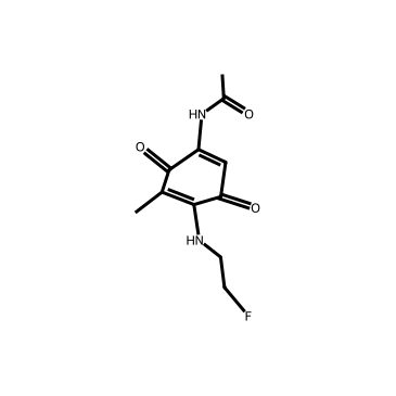 CC(=O)NC1=CC(=O)C(NCCF)=C(C)C1=O